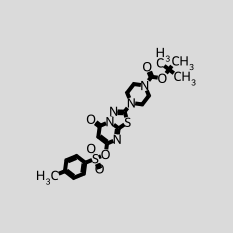 Cc1ccc(S(=O)(=O)Oc2cc(=O)n3nc(N4CCN(C(=O)OC(C)(C)C)CC4)sc3n2)cc1